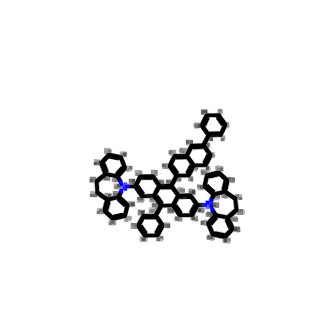 c1ccc(-c2ccc3cc(-c4c5ccc(N6c7ccccc7CCc7ccccc76)cc5c(-c5ccccc5)c5ccc(N6c7ccccc7CCc7ccccc76)cc45)ccc3c2)cc1